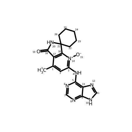 Cc1cc(Nc2ncnc3[nH]cnc23)[n+]([O-])c2c1C(=O)NC21CCCCC1